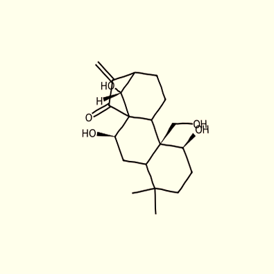 C=C1C(=O)C23C(CCC1[C@H]2O)[C@@]1(CO)C(C[C@H]3O)C(C)(C)CC[C@@H]1O